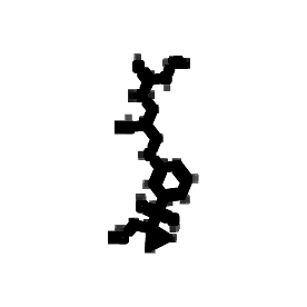 CC(C)(C)OC(=O)NCC(O)COc1cccc(S(=O)(=O)C2(CO)CC2)c1